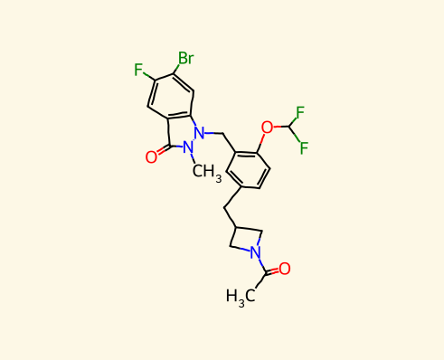 CC(=O)N1CC(Cc2ccc(OC(F)F)c(Cn3c4cc(Br)c(F)cc4c(=O)n3C)c2)C1